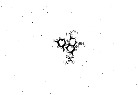 B[C@H]1SC(NP)=N[C@@]2(c3ccc(F)cc3F)COC(OS(=O)(=O)C(F)(F)F)=C[C@@H]12